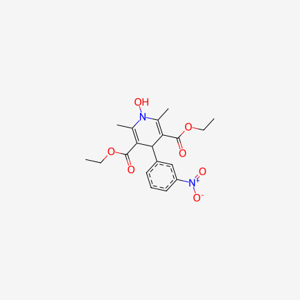 CCOC(=O)C1=C(C)N(O)C(C)=C(C(=O)OCC)C1c1cccc([N+](=O)[O-])c1